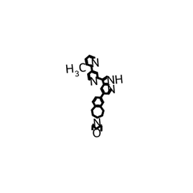 Cc1cccnc1-c1ccnc(-c2c[nH]c3ncc(-c4ccc5c(c4)CC[C@@H](N4C6COCC4C6)CC5)cc23)c1